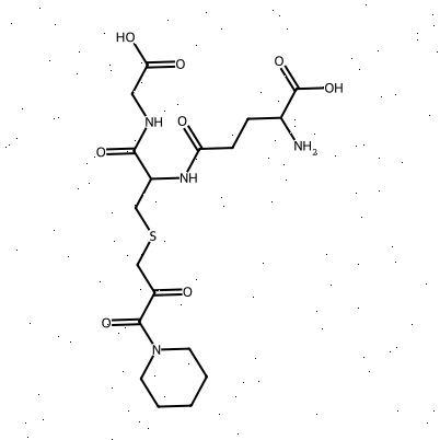 NC(CCC(=O)NC(CSCC(=O)C(=O)N1CCCCC1)C(=O)NCC(=O)O)C(=O)O